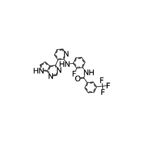 O=C(Nc1cccc(Nc2ncccc2-c2ncnc3[nH]ccc23)c1F)c1cccc(C(F)(F)F)c1